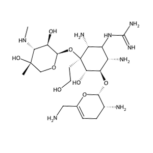 CN[C@@H]1[C@@H](O)[C@@H](O[C@@]2(CCO)[C@H](N)C(NC(=N)N)[C@H](N)[C@@H](O[C@H]3OC(CN)=CC[C@H]3N)[C@@H]2O)OC[C@]1(C)O